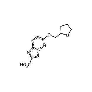 O=C(O)c1cn2nc(OCC3CCCO3)ccc2n1